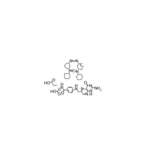 C(=NC1CCCCC1)=NC1CCCCC1.C(=NC1CCCCC1)=NC1CCCCC1.Nc1nc(=O)c2nc(CNc3ccc(C(=O)N[C@@H](CCC(=O)O)C(=O)O)cc3)cnc2[nH]1